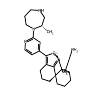 C[C@H]1CNCCCN1c1nccc(-c2onc3c2CCC[C@@]32CCCc3sc(N)c(C#N)c32)n1